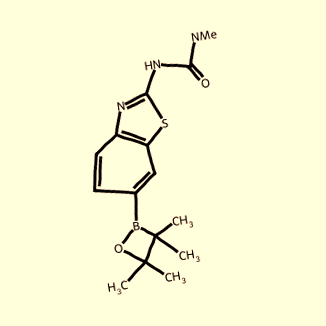 CNC(=O)Nc1nc2ccc(B3OC(C)(C)C3(C)C)cc2s1